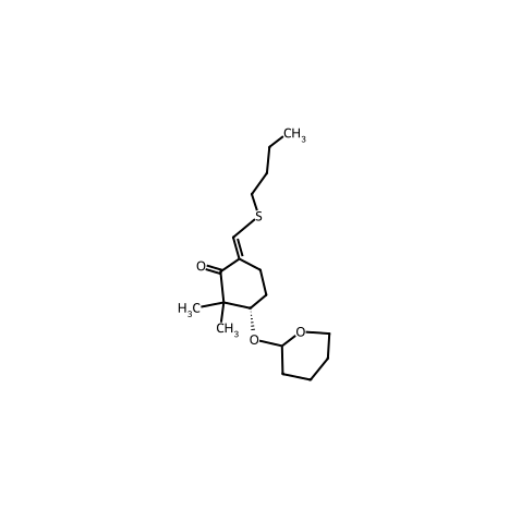 CCCCSC=C1CC[C@H](OC2CCCCO2)C(C)(C)C1=O